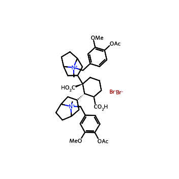 COc1cc(C[N+]2(C)C3CCC2CC([C@H]2C(C(=O)O)CCC[C@@]2(C(=O)O)C2CC4CCC(C2)[N+]4(C)Cc2ccc(OC(C)=O)c(OC)c2)C3)ccc1OC(C)=O.[Br-].[Br-]